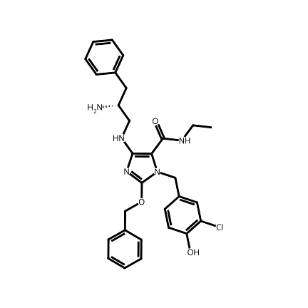 CCNC(=O)c1c(NC[C@H](N)Cc2ccccc2)nc(OCc2ccccc2)n1Cc1ccc(O)c(Cl)c1